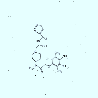 Cc1c(C)c(OCC(=O)N(C)C2CCN(CC(O)NC3(c4ccccc4)CC3)CC2)c(Cl)c(C)c1N